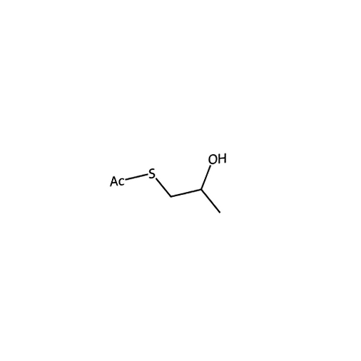 CC(=O)SCC(C)O